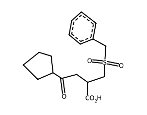 O=C(O)C(CC(=O)C1CCCC1)CS(=O)(=O)Cc1ccccc1